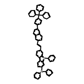 C1=CCCC(C(C2=CC=CCC2)(c2ccccc2)c2ccc(-c3ccc4cc(/C=C/c5ccc6c7ccc(N(c8ccccc8)c8ccccc8)cc7n(-c7ccccc7)c6c5)ccc4c3)cc2)=C1